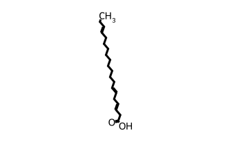 CC/C=C/CCCCCCCCC/C=C/C/C=C/CC(=O)O